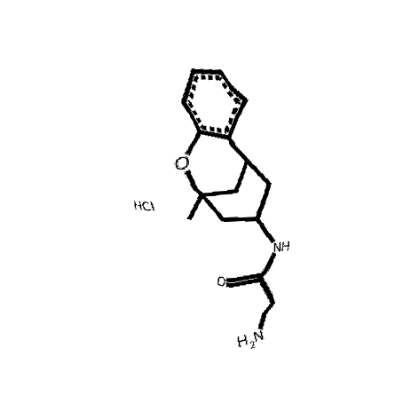 CC12CC(NC(=O)CN)CC(C1)c1ccccc1O2.Cl